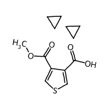 C1CC1.C1CC1.COC(=O)c1cscc1C(=O)O